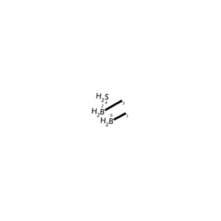 BC.BC.S